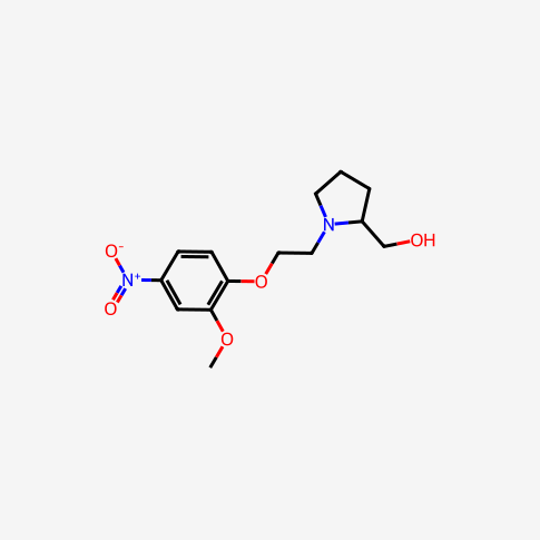 COc1cc([N+](=O)[O-])ccc1OCCN1CCCC1CO